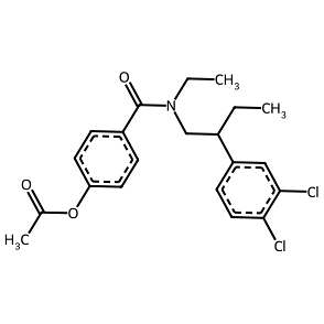 CCC(CN(CC)C(=O)c1ccc(OC(C)=O)cc1)c1ccc(Cl)c(Cl)c1